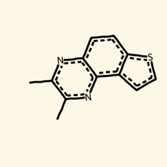 Cc1nc2ccc3sccc3c2nc1C